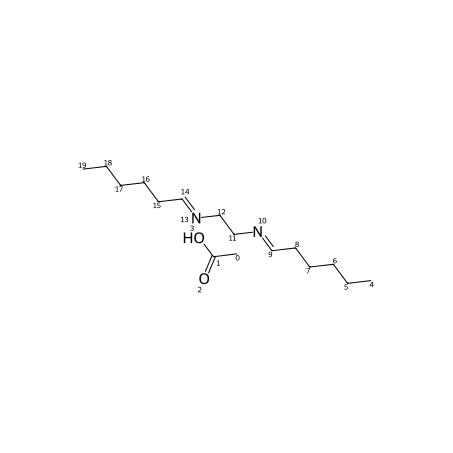 CC(=O)O.CCCCC/C=N/CC/N=C/CCCCC